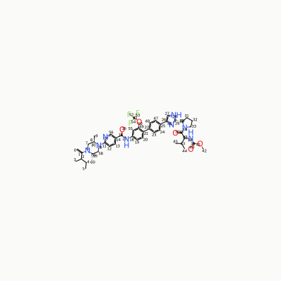 C=C(C(C)CC)N1C[C@@H](C)N(c2ccc(C(=O)Nc3ccc(-c4ccc(-c5c[nH]c([C@@H]6CCCN6C(=O)[C@@H](NC(=O)OC)C(C)C)n5)cc4)c(OC(F)(F)F)c3)cn2)C[C@@H]1C